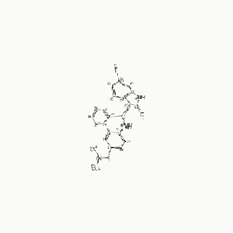 CCN(CC)Cc1ccc(N/C(=C2\C(=O)Nc3cc(F)ccc32)c2ccccc2)cc1